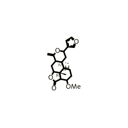 C=C1OC(c2ccoc2)C[C@]2(C)C1CC1OC(=O)C3C(OC)CC[C@@H]2[C@@]13C